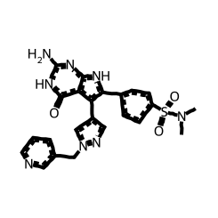 CN(C)S(=O)(=O)c1ccc(-c2[nH]c3nc(N)[nH]c(=O)c3c2-c2cnn(Cc3cccnc3)c2)cc1